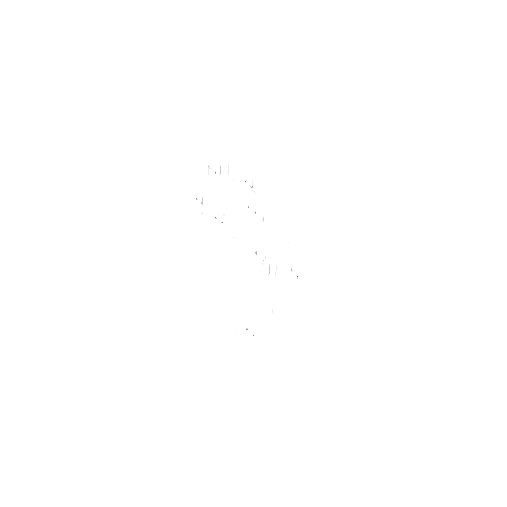 CN(C/C=C/CN)C[C@H]1O[C@@H](n2cnc3c(N)ncnc32)[C@@H](F)[C@@H]1O